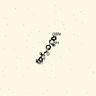 COc1ccc2c(c1)CCN(C1CCN(C(=O)CNC(=O)c3ccc4[nH]nnc4c3)CC1)C(=O)N2